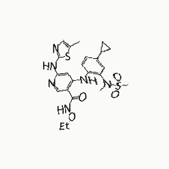 CCONC(=O)c1cnc(Nc2ncc(C)s2)cc1Nc1ccc(C2CC2)cc1N(C)S(C)(=O)=O